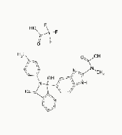 Cc1ccc(N2C(=O)c3ccccc3C2(O)c2ccc3[nH]c(N(C)C(=O)O)nc3c2)cc1.O=C(O)C(F)(F)F